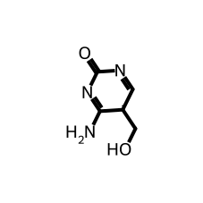 NC1=NC(=O)N=C[C]1CO